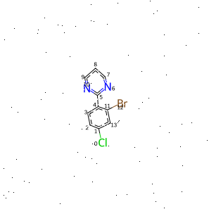 Clc1ccc(-c2ncccn2)c(Br)c1